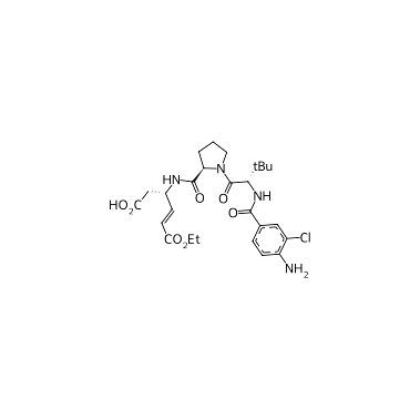 CCOC(=O)/C=C/[C@H](CC(=O)O)NC(=O)[C@H]1CCCN1C(=O)[C@@H](NC(=O)c1ccc(N)c(Cl)c1)C(C)(C)C